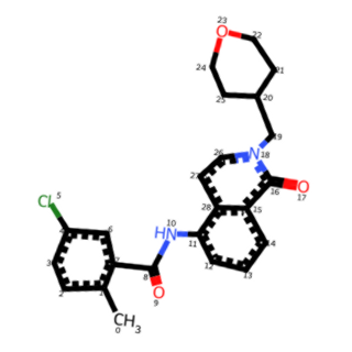 Cc1ccc(Cl)cc1C(=O)Nc1cccc2c(=O)n(CC3CCOCC3)ccc12